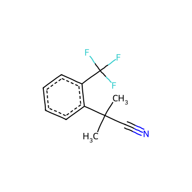 CC(C)(C#N)c1ccccc1C(F)(F)F